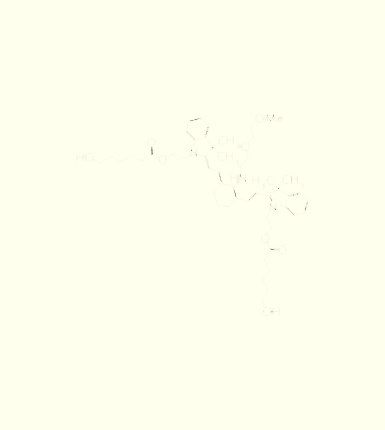 COCCOCCNC1=C(/C=C/C2=[N+](CCOC(=O)CCCCCO)c3ccccc3C2(C)C)CCC/C1=C\C=C1\N(CCOC(=O)CCCCCO)c2ccccc2C1(C)C